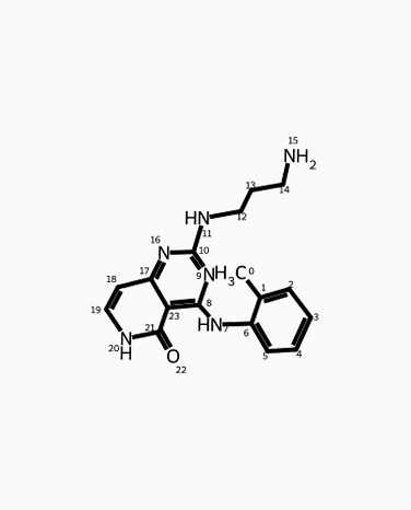 Cc1ccccc1Nc1nc(NCCCN)nc2cc[nH]c(=O)c12